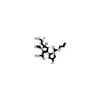 C=CCOC(=O)N1CC(F)C[C@H]1C1=C(C(=O)O)N2C(=O)[C@H]([C@@H](C)O)[C@H]2C1